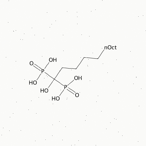 CCCCCCCCCCCCC(O)(P(=O)(O)O)P(=O)(O)O